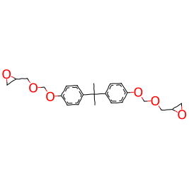 CC(C)(c1ccc(OCOCC2CO2)cc1)c1ccc(OCOCC2CO2)cc1